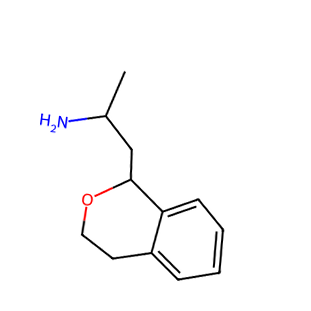 CC(N)CC1OCCc2ccccc21